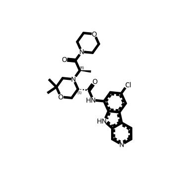 C[C@H](C(=O)N1CCOCC1)N1CC(C)(C)OC[C@H]1C(=O)Nc1cc(Cl)cc2c1[nH]c1cnccc12